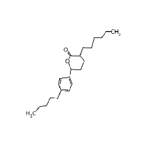 CCCCCCC1CCC(c2ccc(CCCCC)cc2)OC1=O